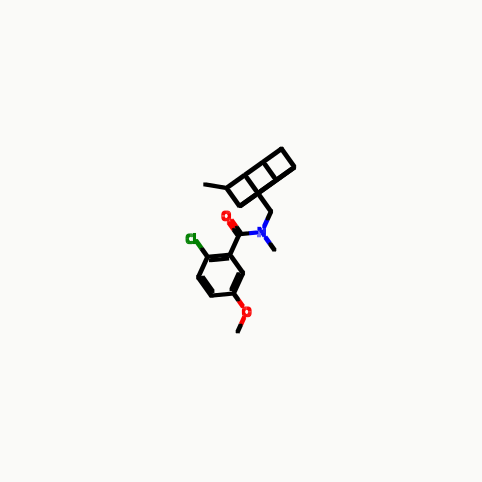 COc1ccc(Cl)c(C(=O)N(C)CC23C4C(C)C2C2CC4C23)c1